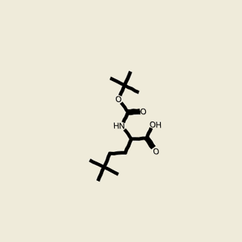 CC(C)(C)CCC(NC(=O)OC(C)(C)C)C(=O)O